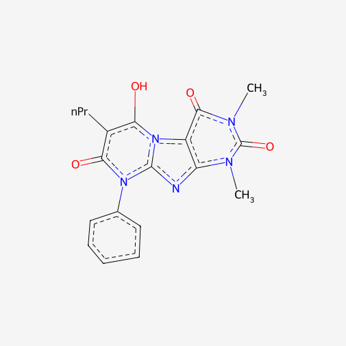 CCCc1c(O)n2c3c(=O)n(C)c(=O)n(C)c3nc2n(-c2ccccc2)c1=O